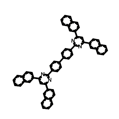 c1ccc2cc(-c3cc(-c4ccc5ccccc5c4)nc(-c4ccc(-c5ccc(-c6nc(-c7ccc8ccccc8c7)cc(-c7ccc8ccccc8c7)n6)cc5)cc4)n3)ccc2c1